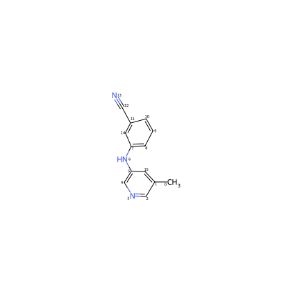 Cc1cncc(Nc2cccc(C#N)c2)c1